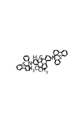 Cc1c2c3c(cccc3c3cc(N(c4ccccc4)c4cccc5c4sc4ccccc45)ccc13)C(C)(C)c1cc(N(c3ccccc3)c3cccc4c3sc3ccccc34)ccc1-2